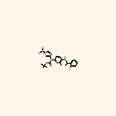 Cc1nc(N(C(=O)OC(C)(C)C)C2=C[S@](=S(=O)=O)C=N2)ccc1NC(C)c1ccccc1F